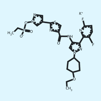 CCOC1CCC(n2cc(NC(=O)c3csc(-c4cnn(OP(=O)([O-])CC)c4)n3)c(-c3nc(F)ccc3F)n2)CC1.[K+]